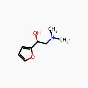 [CH2]N(C)C[C@H](O)c1ccco1